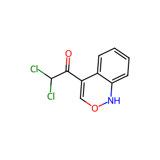 O=C(C1=CONc2ccccc21)C(Cl)Cl